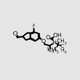 CC(COc1cc(F)c2c(c1)CC(C=O)C2)N(C(=O)O)C(C)(C)C